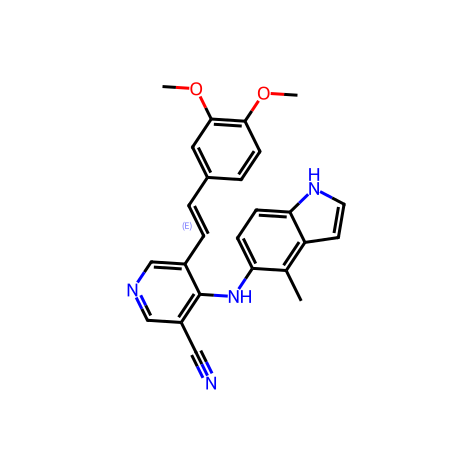 COc1ccc(/C=C/c2cncc(C#N)c2Nc2ccc3[nH]ccc3c2C)cc1OC